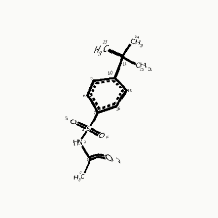 CC(=O)NS(=O)(=O)c1ccc(C(C)(C)C)cc1